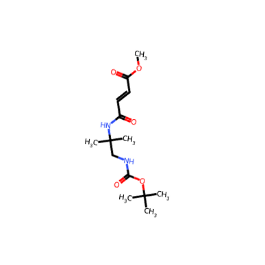 COC(=O)C=CC(=O)NC(C)(C)CNC(=O)OC(C)(C)C